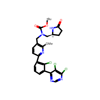 COc1nc(-c2cccc(-c3ncnc(Cl)c3Cl)c2Cl)ccc1CN(C[C@@H]1CCC(=O)N1)C(=O)OC(C)(C)C